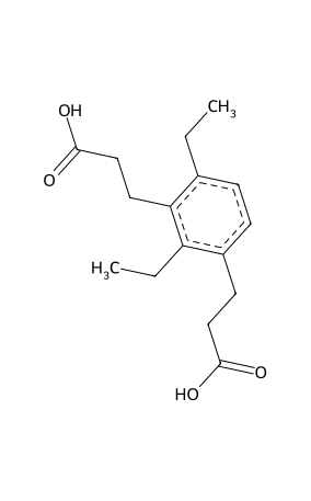 CCc1ccc(CCC(=O)O)c(CC)c1CCC(=O)O